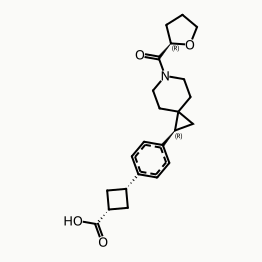 O=C([C@H]1CCCO1)N1CCC2(CC1)C[C@H]2c1ccc([C@H]2C[C@@H](C(=O)O)C2)cc1